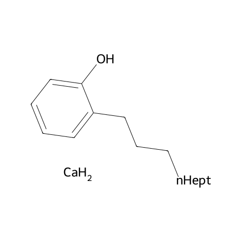 CCCCCCCCCCc1ccccc1O.[CaH2]